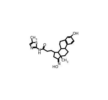 Cc1cnc(NC(=O)CCC2C/C(=N\O)C3(C)CCC4c5ccc(O)cc5CCC4C23)s1